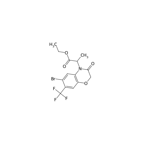 CCOC(=O)C(C)N1C(=O)COc2cc(C(F)(F)F)c(Br)cc21